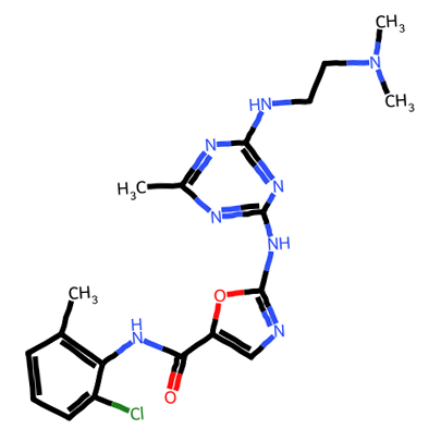 Cc1nc(NCCN(C)C)nc(Nc2ncc(C(=O)Nc3c(C)cccc3Cl)o2)n1